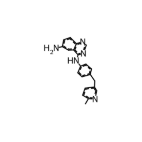 Cc1ccc(Cc2ccc(Nc3ncnc4ccc(N)cc34)cc2)cn1